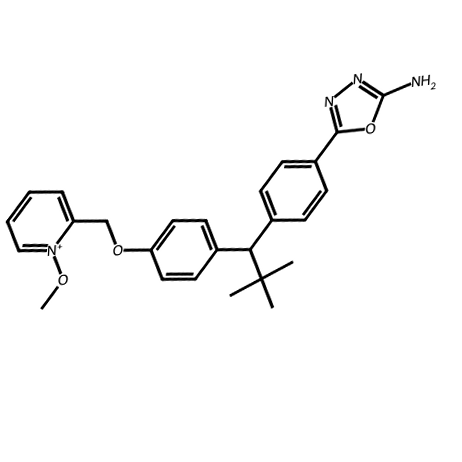 CO[n+]1ccccc1COc1ccc(C(c2ccc(-c3nnc(N)o3)cc2)C(C)(C)C)cc1